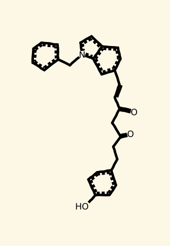 O=C(C=Cc1ccc2ccn(Cc3ccccc3)c2c1)CC(=O)CCc1ccc(O)cc1